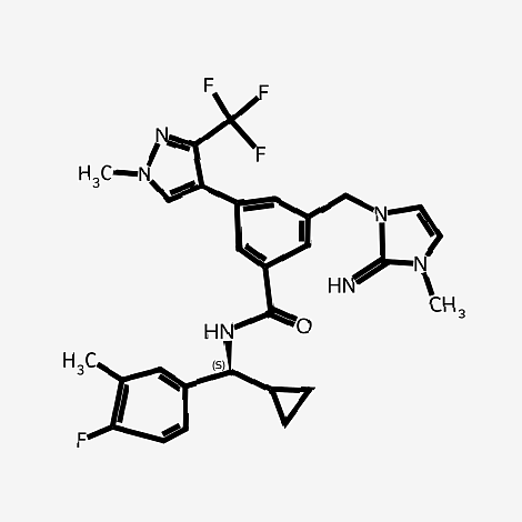 Cc1cc([C@@H](NC(=O)c2cc(Cn3ccn(C)c3=N)cc(-c3cn(C)nc3C(F)(F)F)c2)C2CC2)ccc1F